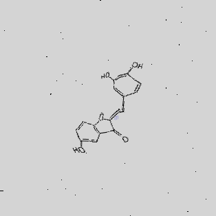 O=C1/C(=C/c2ccc(O)c(O)c2)Oc2ccc(O)cc21